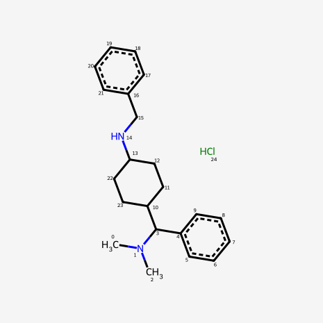 CN(C)C(c1ccccc1)C1CCC(NCc2ccccc2)CC1.Cl